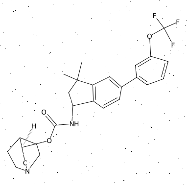 CC1(C)CC(NC(=O)O[C@H]2CN3CCC2CC3)c2ccc(-c3cccc(OC(F)(F)F)c3)cc21